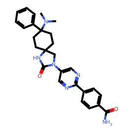 CN(C)C1(c2ccccc2)CCC2(CC1)CN(c1cnc(-c3ccc(C(N)=O)cc3)nc1)C(=O)N2